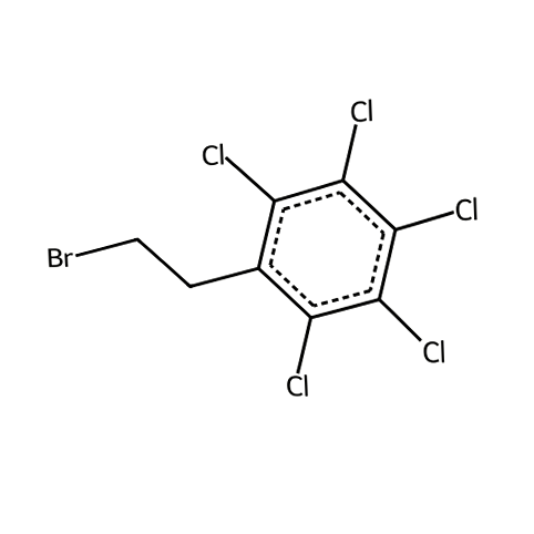 Clc1c(Cl)c(Cl)c(CCBr)c(Cl)c1Cl